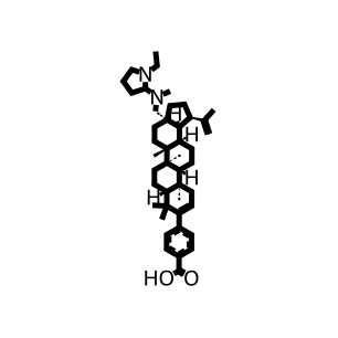 C=C(C)[C@@H]1CC[C@]2(CN(C)C3CCCN3CC)CC[C@]3(C)[C@H](CC[C@@H]4[C@@]5(C)CC=C(c6ccc(C(=O)O)cc6)C(C)(C)[C@@H]5CC[C@]43C)[C@@H]12